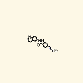 CCC/C=C/c1ccc(C(=O)Nc2ccc3ncccc3c2)cc1